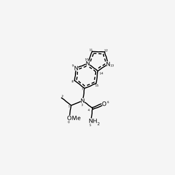 COC(C)N(C(N)=O)c1cnn2ccnc2c1